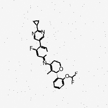 C\C=C(/C(F)=C\C(C)=N\C1=C(C)[C@@H](c2ccccc2OC(F)F)OCC1)c1cnc(C2CC2)nc1